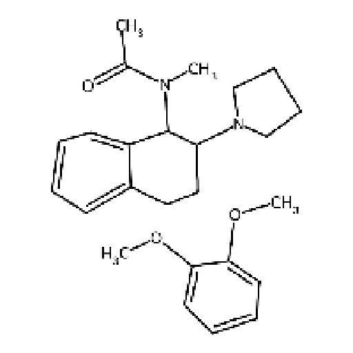 CC(=O)N(C)C1c2ccccc2CCC1N1CCCC1.COc1ccccc1OC